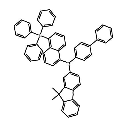 CC1(C)c2ccccc2-c2ccc(N(c3ccc(-c4ccccc4)cc3)c3cccc4c([Si](c5ccccc5)(c5ccccc5)c5ccccc5)cccc34)cc21